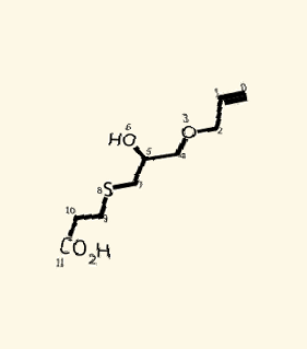 C=CCOCC(O)CSCCC(=O)O